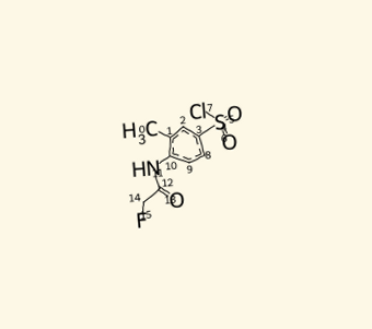 Cc1cc(S(=O)(=O)Cl)ccc1NC(=O)CF